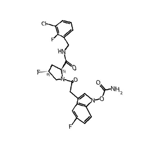 NC(=O)On1cc(CC(=O)N2C[C@H](F)C[C@H]2C(=O)NCc2cccc(Cl)c2F)c2cc(F)ccc21